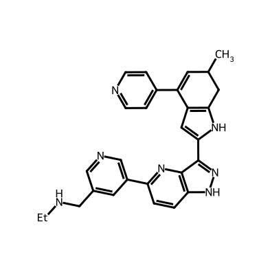 CCNCc1cncc(-c2ccc3[nH]nc(-c4cc5c([nH]4)CC(C)C=C5c4ccncc4)c3n2)c1